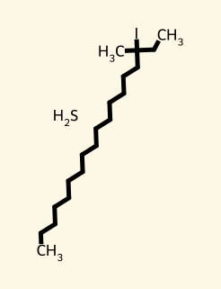 CCCCCCCCCCCCCCCC(C)(I)CC.S